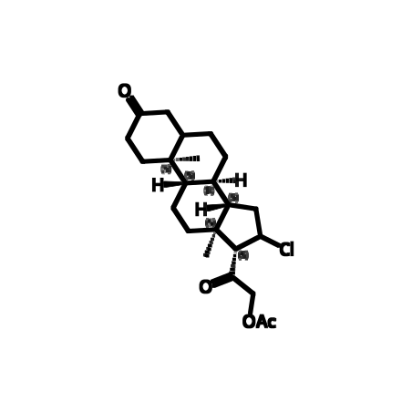 CC(=O)OCC(=O)[C@H]1C(Cl)C[C@H]2[C@@H]3CCC4CC(=O)CC[C@]4(C)[C@H]3CC[C@]12C